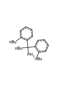 CCCCc1ccccc1C(P)(CCCC)c1ccccc1CCCC